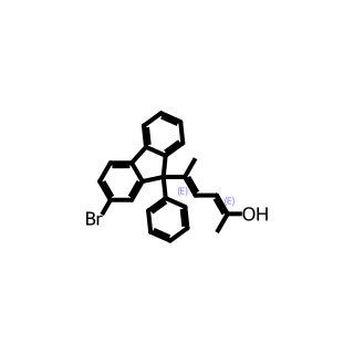 C/C(O)=C\C=C(/C)C1(c2ccccc2)c2ccccc2-c2ccc(Br)cc21